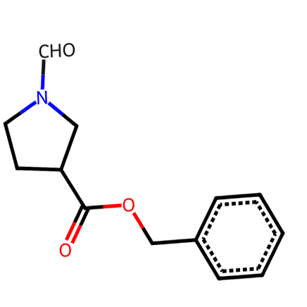 O=CN1CCC(C(=O)OCc2ccccc2)C1